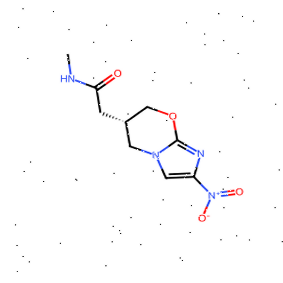 CNC(=O)C[C@@H]1COc2nc([N+](=O)[O-])cn2C1